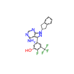 Nc1ncnc2c1c(-c1cc(O)c(F)c(C(F)(F)F)c1)nn2C1Cc2ccccc2C1